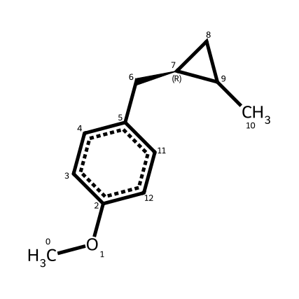 COc1ccc(C[C@H]2CC2C)cc1